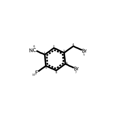 N#Cc1cc(CBr)c(Br)cc1F